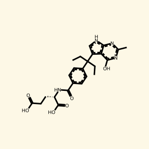 CCC(CC)(c1ccc(C(=O)N[C@@H](CCC(=O)O)C(=O)O)cc1)c1c[nH]c2nc(C)nc(O)c12